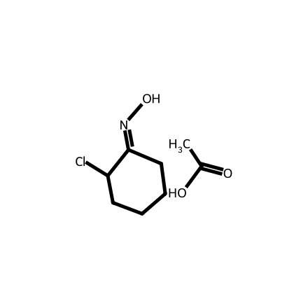 CC(=O)O.ON=C1CCCCC1Cl